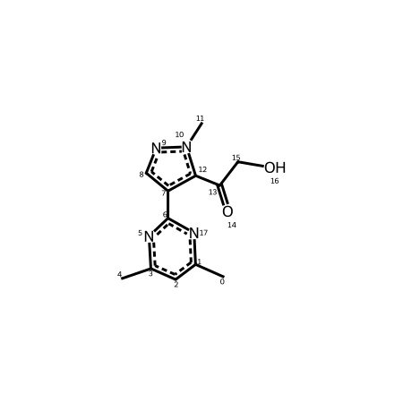 Cc1cc(C)nc(-c2cnn(C)c2C(=O)CO)n1